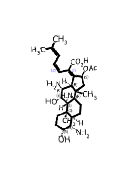 CC(=O)O[C@H]1C[C@@]2(C)[C@H](/C1=C(\C=C/C=C(C)C)C(=O)O)[C@@H](N)[C@@H](O)[C@H]1[C@@]3(C)CC[C@@H](O)[C@@H](N)[C@@H]3CC[C@@]12N